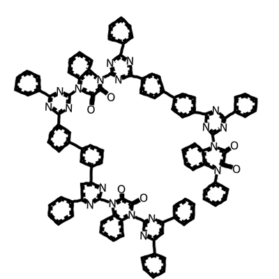 O=c1c(=O)n(-c2nc(-c3ccccc3)nc(-c3ccc(-c4ccc(-c5nc(-c6ccccc6)nc(-n6c(=O)c(=O)n(-c7nc(-c8ccccc8)nc(-c8cccc(-c9cccc(-c%10cc(-c%11ccccc%11)nc(-n%11c(=O)c(=O)n(-c%12nc(-c%13ccccc%13)cc(-c%13ccccc%13)n%12)c%12ccccc%12%11)n%10)c9)c8)n7)c7ccccc76)n5)cc4)cc3)n2)c2ccccc2n1-c1ccccc1